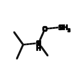 CC(C)[SiH](C)O[SiH3]